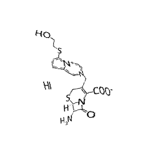 I.NC1C(=O)N2C(C(=O)[O-])=C(Cn3cc[n+]4c(SCCO)ccc-4c3)CS[C@H]12